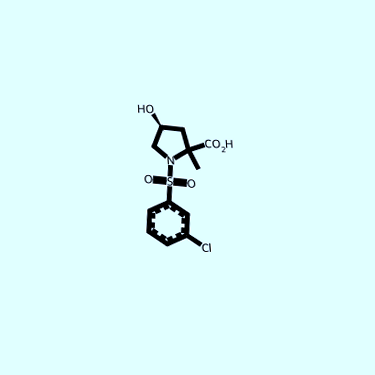 CC1(C(=O)O)C[C@H](O)CN1S(=O)(=O)c1cccc(Cl)c1